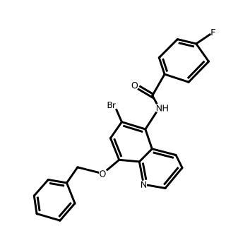 O=C(Nc1c(Br)cc(OCc2ccccc2)c2ncccc12)c1ccc(F)cc1